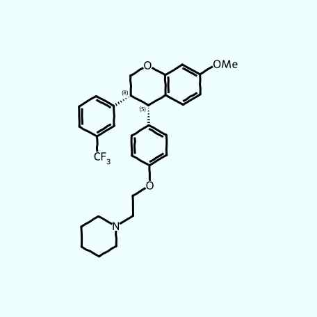 COc1ccc2c(c1)OC[C@@H](c1cccc(C(F)(F)F)c1)[C@H]2c1ccc(OCCN2CCCCC2)cc1